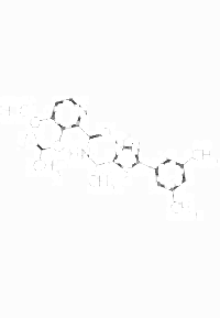 COc1ccnc(C(=O)N[C@@H](C)c2nnc(-c3cc(C)cc(C)c3)s2)c1OC(C)=O